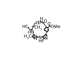 C#C/C=C1\C=C(/C)CCCNC(=O)c2ccc(cc2C(=O)OC)-c2cnc(F)c(c2)Nc2ncc(C)c(n2)N1